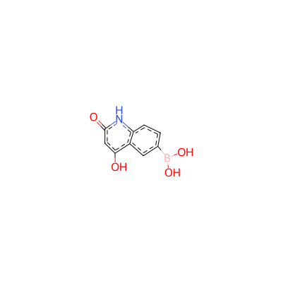 O=c1cc(O)c2cc(B(O)O)ccc2[nH]1